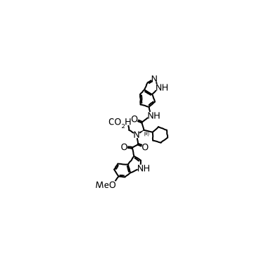 COc1ccc2c(C(=O)C(=O)N(CC(=O)O)[C@@H](C(=O)Nc3ccc4cn[nH]c4c3)C3CCCCC3)c[nH]c2c1